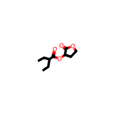 CCC(CC)C(=O)OC1CCOC1=O